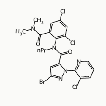 CCCN(C(=O)c1cc(Br)nn1-c1ncccc1Cl)c1c(Cl)cc(Cl)cc1C(=O)N(C)C